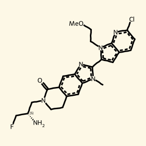 COCCn1c(-c2nc3cc4c(cc3n2C)CCN(C[C@H](N)CF)C4=O)cc2ccc(Cl)nc21